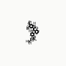 CCNCCN(c1ccc(NC(=C2C(=O)Nc3cc(OCC)c(OCC)cc32)c2ccccc2)cc1)S(C)(=O)=O